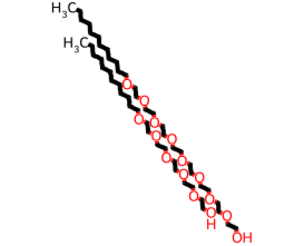 CCCCCCCCCCCCOCCOCCOCCOCCOCCO.CCCCCCCCCCCCOCCOCCOCCOCCOCCOCCOCCOCCO